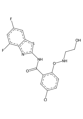 O=C(Nc1nc2c(F)cc(F)cc2s1)c1cc(Cl)ccc1ONCCO